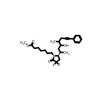 COC(=O)CCCCCCN1C(=O)C(F)(F)C[C@@H]1C(C)CC(O)C(C)CC#Cc1ccccc1